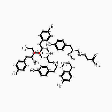 NCCCC[C@@H](CN[C@H](CN[C@H](CN[C@H](CNCCC(N)=O)Cc1ccc(O)cc1)Cc1ccc(O)cc1)Cc1ccc(O)cc1)NC[C@H](Cc1ccc(O)cc1)NC[C@@H](N)Cc1ccc(O)cc1